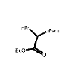 CCCCCC(CCC)C(=O)OCC(C)C